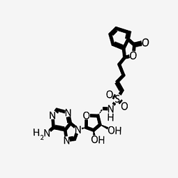 Nc1ncnc2c1ncn2[C@@H]1O[C@H](CNS(=O)(=O)/C=C/CCC2OC(=O)c3ccccc32)[C@@H](O)[C@H]1O